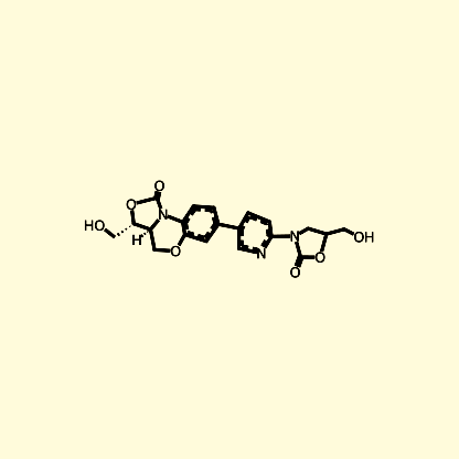 O=C1OC(CO)CN1c1ccc(-c2ccc3c(c2)OC[C@H]2[C@H](CO)OC(=O)N32)cn1